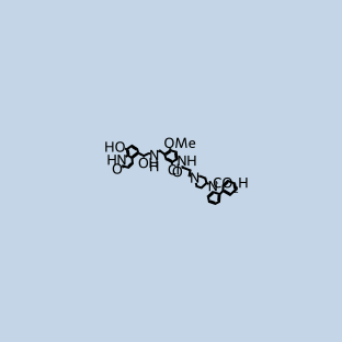 COc1cc(NC(=O)CCN2CCC(N(C(=O)O)c3ccccc3-c3ccccc3)CC2)c(Cl)cc1CNC[C@H](O)c1ccc(O)c2[nH]c(=O)ccc12